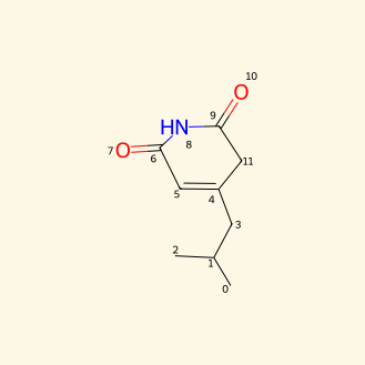 CC(C)CC1=CC(=O)NC(=O)C1